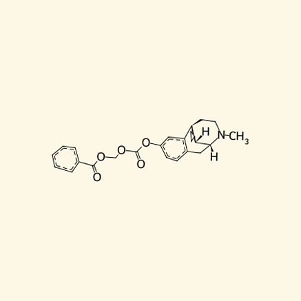 CN1CC[C@]23CCCC[C@H]2[C@H]1Cc1ccc(OC(=O)OCOC(=O)c2ccccc2)cc13